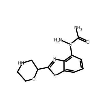 NC(=O)N(N)c1cccc2sc(C3CNCCO3)nc12